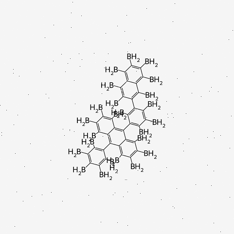 Bc1c(B)c(B)c(-c2c3c(B)c(B)c(B)c(B)c3c(-c3c(B)c(B)c(B)c(-c4c(B)c(B)c5c(B)c(B)c(B)c(B)c5c4B)c3B)c3c(B)c(B)c(B)c(B)c23)c(B)c1B